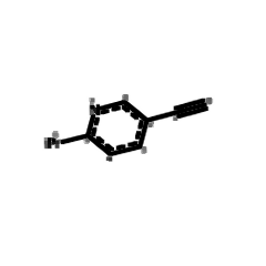 C#Cc1ccc(C(C)C)nc1